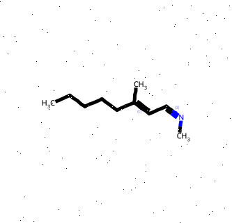 CCCCC/C(C)=C/C=N\C